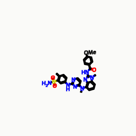 COc1ccc(C(=O)Nc2nc3c(N(C)c4ccnc(Nc5ccc(C)c(S(N)(=O)=O)c5)n4)cccc3n2C)cc1